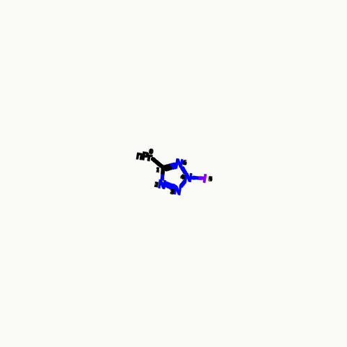 CCCc1nnn(I)n1